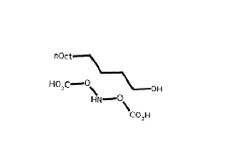 CCCCCCCCCCCCO.O=C(O)ONOC(=O)O